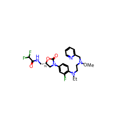 CCN(CCN(Cc1ccccn1)OC)c1ccc(N2C[C@H](CNC(=O)C(F)F)OC2=O)cc1F